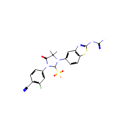 CC1(C)C(=O)N(c2ccc(C#N)c(Cl)c2)C(S(=O)(=O)O)N1c1ccc2sc(NC(=N)N)nc2c1